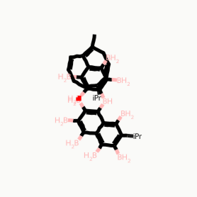 Bc1c(B)c(C2=C(/C)C/C=C\C(C(C)C)CC/C=C\2)c(B)c(B)c1Bc1c(B)c(B)c(B)c2c(B)c(B)c(C(C)C)c(B)c12